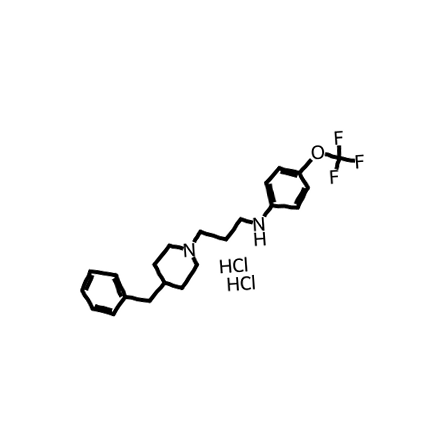 Cl.Cl.FC(F)(F)Oc1ccc(NCCCN2CCC(Cc3ccccc3)CC2)cc1